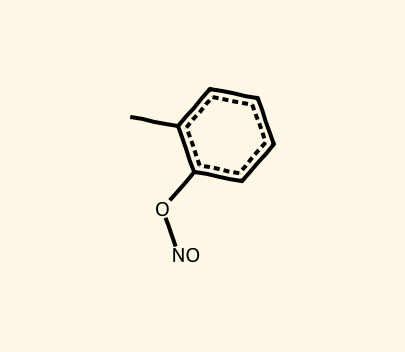 Cc1ccccc1ON=O